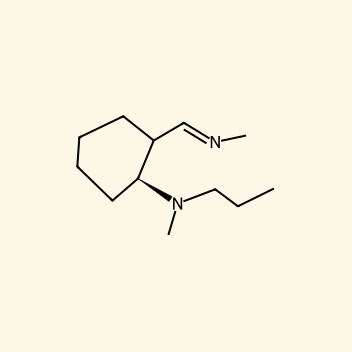 CCCN(C)[C@H]1CCCCC1/C=N/C